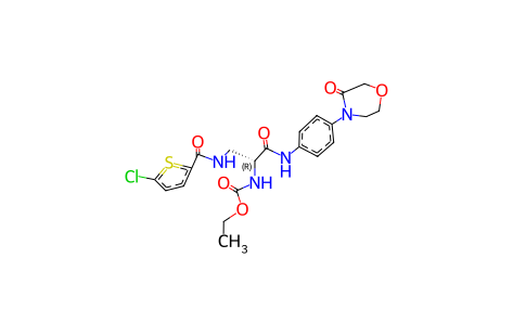 CCOC(=O)N[C@H](CNC(=O)c1ccc(Cl)s1)C(=O)Nc1ccc(N2CCOCC2=O)cc1